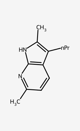 CCCc1c(C)[nH]c2nc(C)ccc12